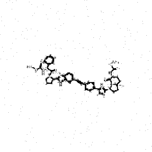 COC(=O)N[C@H]1CC[C@H]2CC[C@@H](c3ncc(-c4ccc(C#Cc5ccc6nc(C7CCCN7C(=O)[C@H](NC(=O)OC)c7ccccc7)[nH]c6c5)cc4)[nH]3)N2C1=O